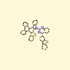 c1ccc2c(-c3ccc4c(c3)sc3ccccc34)nc(-n3c4ccccc4c4c5c6ccccc6c6ccccc6c5c5c6ccccc6sc5c43)nc2c1